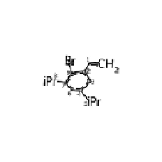 C=Cc1cc(C(C)C)cc(C(C)C)c1Br